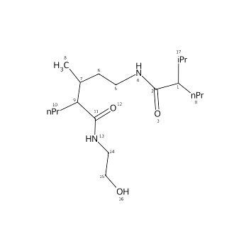 CCCC(C(=O)NCCC(C)C(CCC)C(=O)NCCO)C(C)C